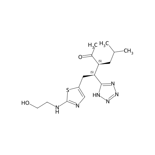 CC(=O)[C@@H](CC(C)C)[C@H](Cc1cnc(NCCO)s1)c1nnn[nH]1